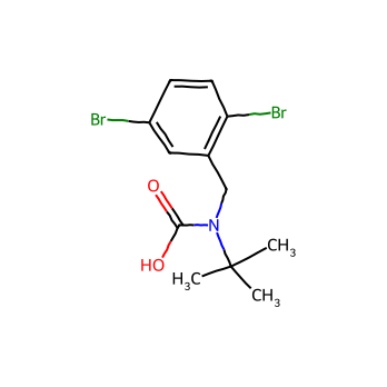 CC(C)(C)N(Cc1cc(Br)ccc1Br)C(=O)O